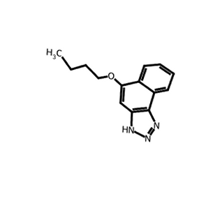 CCCCOc1cc2[nH]nnc2c2ccccc12